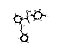 CC(c1ccccc1OCc1ccccc1)C(O)c1ccc(F)cc1